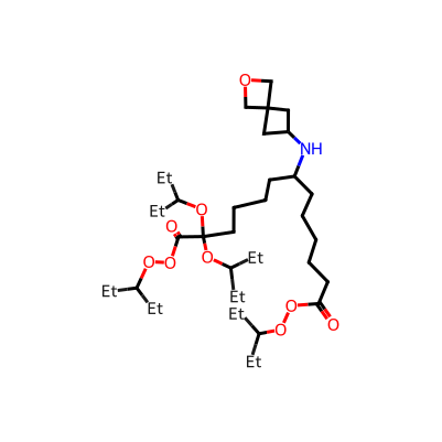 CCC(CC)OOC(=O)CCCCCC(CCCCC(OC(CC)CC)(OC(CC)CC)C(=O)OOC(CC)CC)NC1CC2(COC2)C1